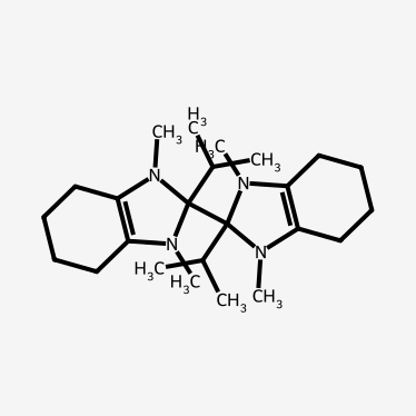 CC(C)C1(C2(C(C)C)N(C)C3=C(CCCC3)N2C)N(C)C2=C(CCCC2)N1C